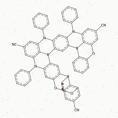 N#Cc1cc2c3c(c1)Oc1cc4c(cc1B3c1ccccc1O2)B1c2cc3c(cc2N(c2ccccc2)c2cc(C#N)cc(c21)N4c1ccccc1)N(c1ccccc1)c1cc(C#N)cc2c1B3c1ccccc1O2